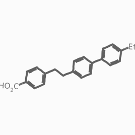 CCc1ccc(-c2ccc(CCc3ccc(C(=O)O)cc3)cc2)cc1